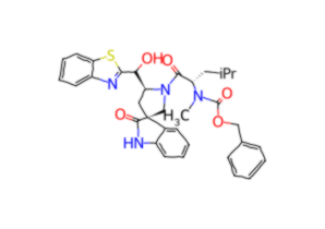 CC(C)C[C@@H](C(=O)N1C[C@]2(C[C@H]1C(O)c1nc3ccccc3s1)C(=O)Nc1ccccc12)N(C)C(=O)OCc1ccccc1